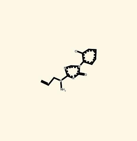 C=CCN(N)c1ncn(-c2ccccc2Cl)c(=O)n1